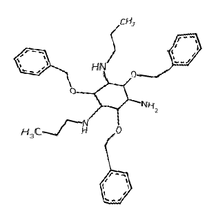 CCCNC1C(OCc2ccccc2)C(N)C(OCc2ccccc2)C(NCCC)C1OCc1ccccc1